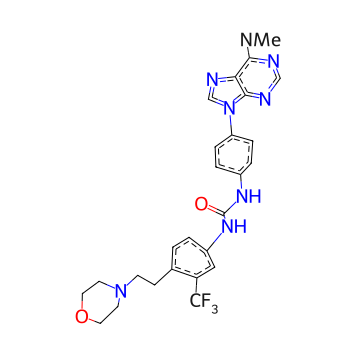 CNc1ncnc2c1ncn2-c1ccc(NC(=O)Nc2ccc(CCN3CCOCC3)c(C(F)(F)F)c2)cc1